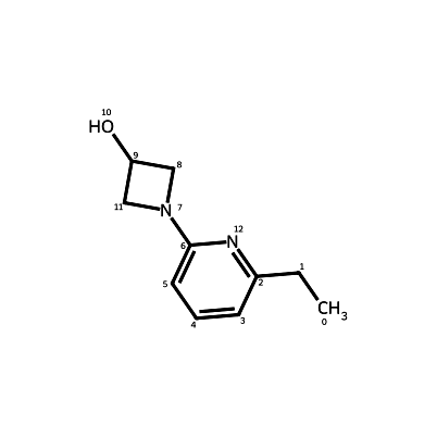 CCc1cccc(N2CC(O)C2)n1